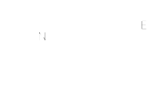 CC/C=C(\C)c1ccc(C)cn1